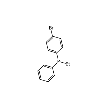 CCP(c1ccccc1)c1ccc(Br)cc1